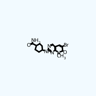 Cn1c(=O)c(Br)cc2cnc(NC3CCC(C(N)=O)CC3)nc21